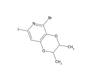 CC1Oc2cc(I)nc(Br)c2OC1C